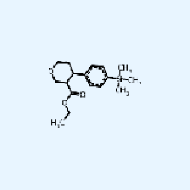 CCOC(=O)C1COCCC1c1ccc([Si](C)(C)C)cc1